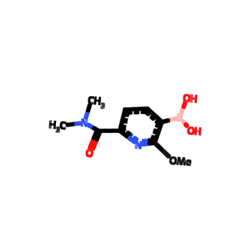 COc1nc(C(=O)N(C)C)ccc1B(O)O